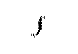 CCCCCCCC[C@H]1CC[C@H](c2ccc(-c3ccc([C@H]4CC[C@H](CC)CC4)nn3)cc2)CC1